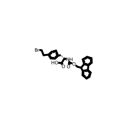 O=C(N[C@@H](Cc1ccc(CCBr)cc1)C(=O)O)OCC1c2ccccc2-c2ccccc21